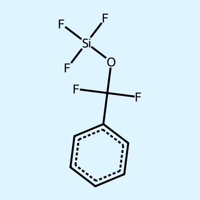 FC(F)(O[Si](F)(F)F)c1ccccc1